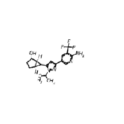 CC(C)n1nc(-c2cnc(N)c(C(F)(F)F)c2)cc1C1[C@H]2[C@@H]1CC[C@@H]2O